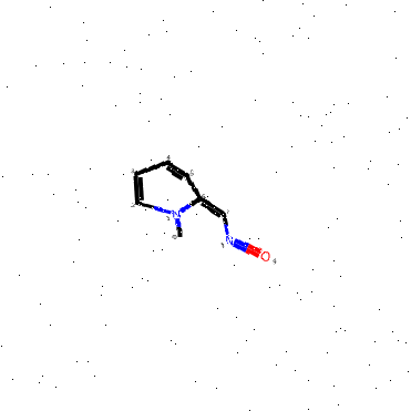 CN1C=CC=CC1=CN=O